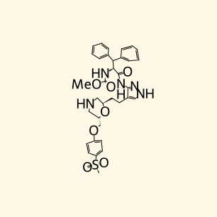 COC(=O)N[C@H](C(=O)Nc1n[nH]cc1CC[C@@H]1CNC[C@@H](COc2ccc(S(C)(=O)=O)cc2)O1)C(c1ccccc1)c1ccccc1